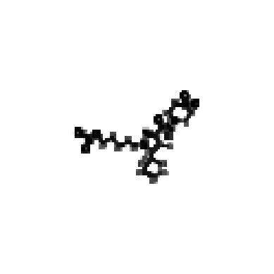 Cc1c(C(=O)NN2CCS(=O)(=O)CC2)nn(CCCCCO[N+](=O)[O-])c1-c1ccccc1